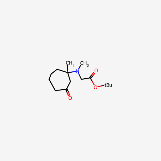 CN(CC(=O)OC(C)(C)C)[C@@]1(C)CCCCC(=O)C1